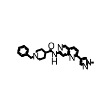 Cn1cc(-c2ccc3cnc(NC(=O)C4CCN(Cc5ccccc5)CC4)cc3n2)cn1